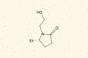 CC[C@H]1CCC(=O)N1CCO